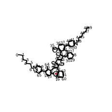 CCCCCCC[n+]1ccc(-c2ccc(OC)c(-c3sc4c(sc5c(-c6ccccc6)c(-c6c(OC)ccc(-c7cc[n+](CCCCCCC)cc7)c6C)sc54)c3-c3ccccc3)c2C)cc1